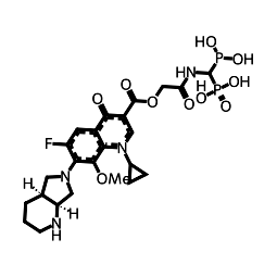 COc1c(N2C[C@@H]3CCCN[C@@H]3C2)c(F)cc2c(=O)c(C(=O)OCC(=O)NC(P(O)O)P(=O)(O)O)cn(C3CC3)c12